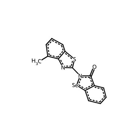 Cc1cccc2sc(-n3[se]c4ccccc4c3=O)nc12